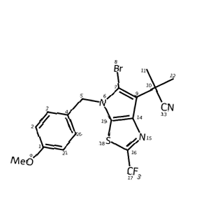 COc1ccc(Cn2c(Br)c(C(C)(C)C#N)c3nc(C(F)(F)F)sc32)cc1